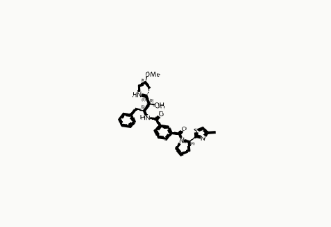 CO[C@H]1CN[C@@H]([C@@H](O)[C@H](Cc2ccccc2)NC(=O)c2cccc(C(=O)N3CCC[C@@H]3c3nc(C)cs3)c2)C1